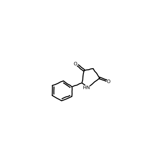 O=C1CC(=O)C(c2ccccc2)N1